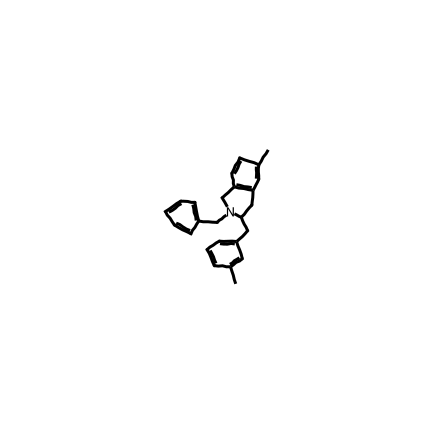 Cc1cccc(CC2Cc3cc(C)ccc3CN2Cc2ccccc2)c1